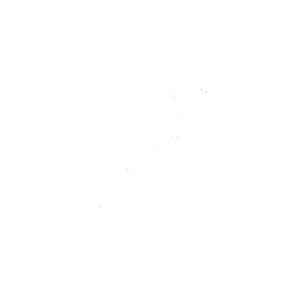 COc1ccccc1CCNC(=O)c1ccc(-c2cccc(CN(C)C(=O)CN)c2)cc1